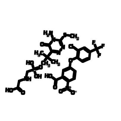 CSc1nnc(C(C)(C)C)c(=O)n1N.O=C(O)CNCP(=O)(O)O.O=C(O)c1cc(Oc2ccc(C(F)(F)F)cc2Cl)ccc1[N+](=O)[O-]